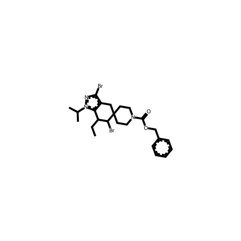 CCC1c2c(c(Br)nn2C(C)C)CC2(CCN(C(=O)OCc3ccccc3)CC2)C1Br